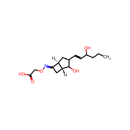 CCCC(O)C=CC1C[C@@H]2C(=NOCC(=O)O)C[C@H]2C1O